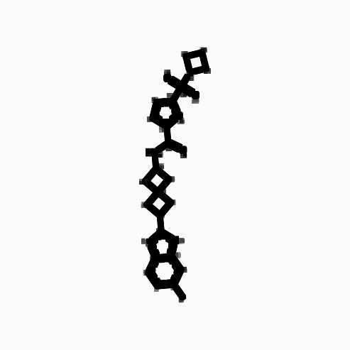 Cc1ccc2sc(C3CC4(CC(NC(=O)c5ccc(S(=O)(=O)N6CCC6)o5)C4)C3)nc2c1